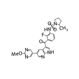 COc1ncc(-c2cnc3[nH]cc(C(=O)c4cccc(NS(=O)(=O)N5CCCC5C)c4F)c3c2)cn1